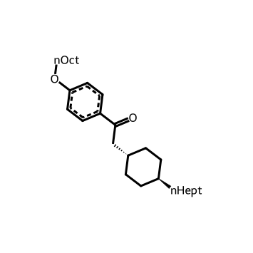 CCCCCCCCOc1ccc(C(=O)C[C@H]2CC[C@H](CCCCCCC)CC2)cc1